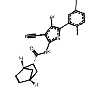 Cc1ccc(C)c(-c2sc(NC(=O)[C@@H]3C[C@@H]4CC[C@H]3C4)c(C#N)c2Br)c1